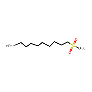 CCCCCCCCCCCCCCCCCCCS(=O)(=O)OCC(C)C